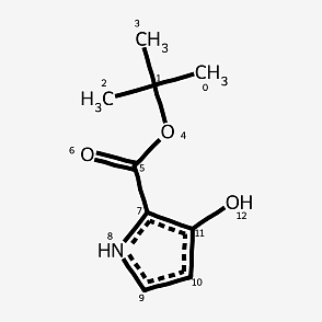 CC(C)(C)OC(=O)c1[nH]ccc1O